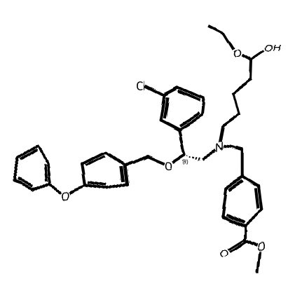 CCOC(O)CCCCN(Cc1ccc(C(=O)OC)cc1)C[C@H](OCc1ccc(Oc2ccccc2)cc1)c1cccc(Cl)c1